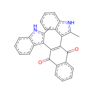 Cc1[nH]c2ccccc2c1C1=C(c2c(C)[nH]c3ccccc23)C(=O)c2ccccc2C1=O